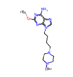 CCCCOc1nc(N)c2ncn(CCCCN3CCN(C(C)(C)C)CC3)c2n1